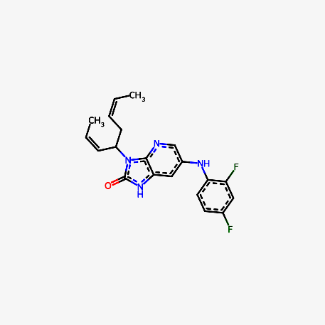 C/C=C\CC(/C=C\C)n1c(=O)[nH]c2cc(Nc3ccc(F)cc3F)cnc21